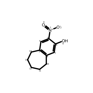 O=[N+]([O-])c1cc2c(cc1O)CCCCC2